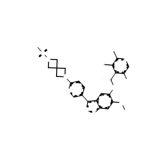 COc1cc2[nH]nc(-c3ccc(N4CC5(C4)CN(S(C)(=O)=O)C5)nc3)c2cc1O[C@H](C)c1c(Cl)cnc(C)c1Cl